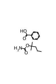 CCCC(C)(C)OC(N)=O.O=C(O)c1ccccc1